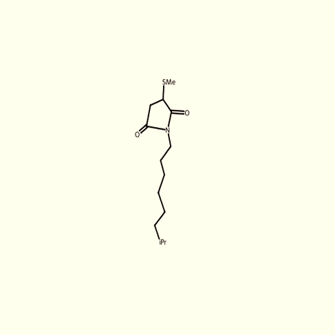 CSC1CC(=O)N(CCCCCCC(C)C)C1=O